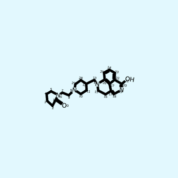 O=C1CCCCN1CCN1CCC(CN2CCc3cnc(O)c4cccc2c34)CC1